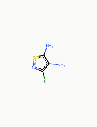 Nc1snc(Cl)c1N